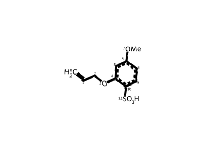 C=CCOc1cc(OC)ccc1S(=O)(=O)O